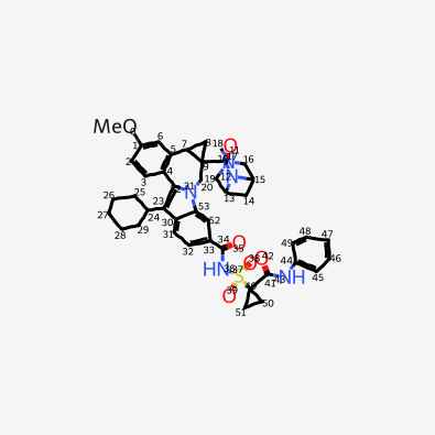 COc1ccc2c(c1)C1CC1(C(=O)N1C3CC1CN(C)C3)Cn1c-2c(C2CCCCC2)c2ccc(C(=O)NS(=O)(=O)C3(C(=O)Nc4ccccc4)CC3)cc21